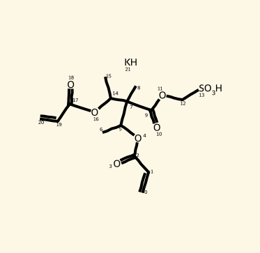 C=CC(=O)OC(C)C(C)(C(=O)OCS(=O)(=O)O)C(C)OC(=O)C=C.[KH]